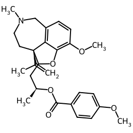 C=C(C)[C@@]12CCN(C)Cc3ccc(OC)c(c31)OC2C[C@H](C)OC(=O)c1ccc(OC)cc1